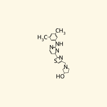 Cc1cc(C)cc(Nc2nccc(-c3nc(CN4CCC(O)C4)cs3)n2)c1